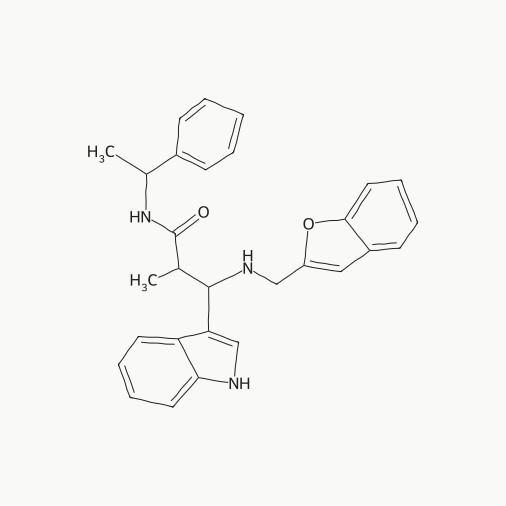 CC(NC(=O)C(C)C(NCc1cc2ccccc2o1)c1c[nH]c2ccccc12)c1ccccc1